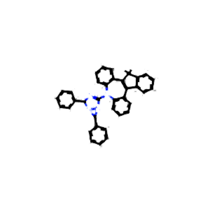 CC1(C)C2=C(c3ccccc3N(C3=NC(c4ccccc4)N4C(c5ccccc5)N34)c3ccccc32)c2ccccc21